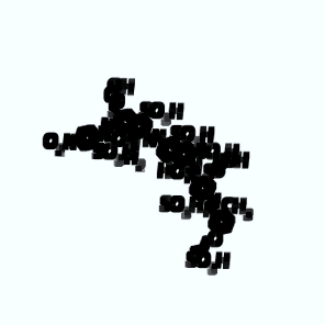 Cc1ccc(OCCCS(=O)(=O)O)cc1N=Nc1cc(SOOO)c(N=Nc2c(S(=O)(=O)O)cc3c(S(=O)(=O)O)c(N=Nc4cc(S(=O)(=O)O)c5cc(SOOO)c(N=Nc6ccc([N+](=O)[O-])cc6S(=O)(=O)O)c(O)c5c4N)ccc3c2O)cc1S(=O)(=O)O